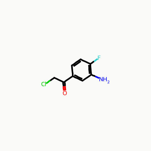 Nc1cc(C(=O)CCl)ccc1F